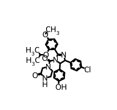 COc1ccc(C2=NC(c3ccc(Cl)cc3)C(c3ccc(O)cc3)N2C(=O)N2CCNC(=O)C2)c(OC(C)C)c1